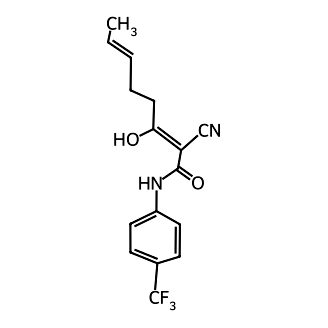 CC=CCCC(O)=C(C#N)C(=O)Nc1ccc(C(F)(F)F)cc1